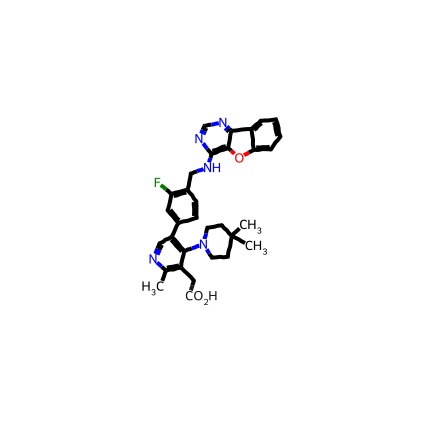 Cc1ncc(-c2ccc(CNc3ncnc4c3oc3ccccc34)c(F)c2)c(N2CCC(C)(C)CC2)c1CC(=O)O